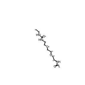 CCNC(=O)NCCOCCOCCNC(C)=O